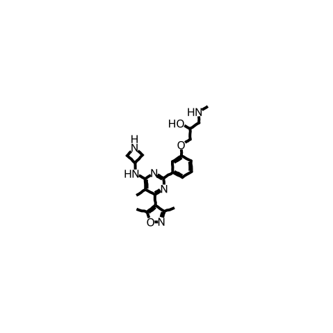 CNCC(O)COc1cccc(-c2nc(NC3CNC3)c(C)c(-c3c(C)noc3C)n2)c1